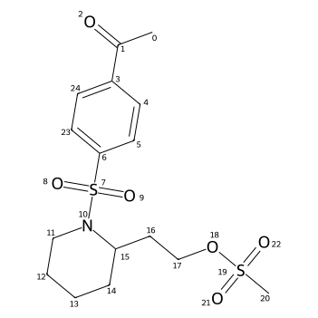 CC(=O)c1ccc(S(=O)(=O)N2CCCCC2CCOS(C)(=O)=O)cc1